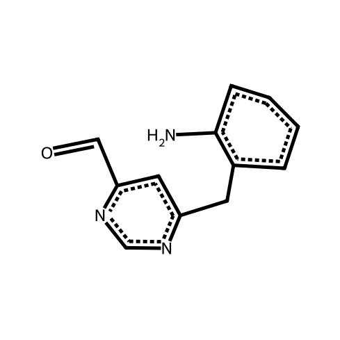 Nc1ccccc1Cc1cc(C=O)ncn1